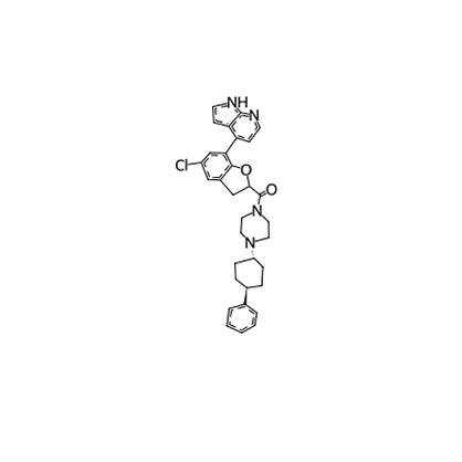 O=C(C1Cc2cc(Cl)cc(-c3ccnc4[nH]ccc34)c2O1)N1CCN([C@H]2CC[C@H](c3ccccc3)CC2)CC1